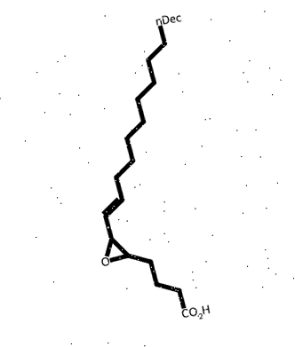 CCCCCCCCCCCCCCCCCCC=CC1OC1CCCC(=O)O